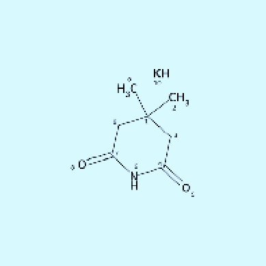 CC1(C)CC(=O)NC(=O)C1.[KH]